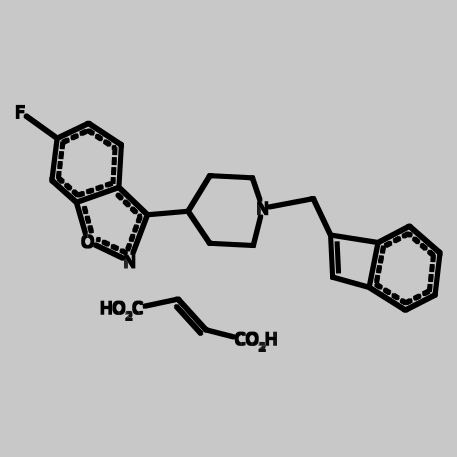 Fc1ccc2c(C3CCN(CC4=Cc5ccccc54)CC3)noc2c1.O=C(O)C=CC(=O)O